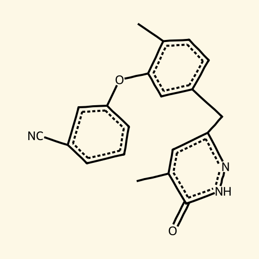 Cc1ccc(Cc2cc(C)c(=O)[nH]n2)cc1Oc1cccc(C#N)c1